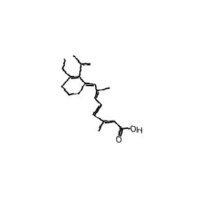 CCC1=C(C(C)C)C(=CC(C)=CC=CC(C)=CC(=O)O)CCC1